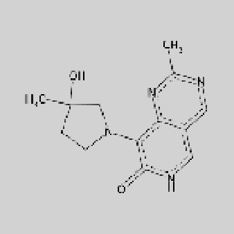 Cc1ncc2c[nH]c(=O)c(N3CCC(C)(O)C3)c2n1